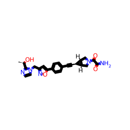 C[C@H](O)c1nccn1Cc1cc(-c2ccc(C#C[C@H]3[C@H]4CN(C(=O)C(N)=O)C[C@@H]34)cc2)on1